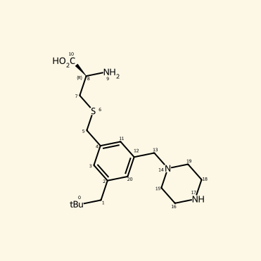 CC(C)(C)Cc1cc(CSC[C@H](N)C(=O)O)cc(CN2CCNCC2)c1